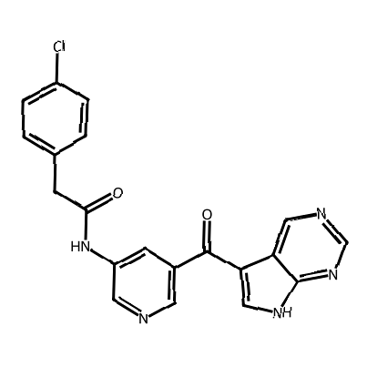 O=C(Cc1ccc(Cl)cc1)Nc1cncc(C(=O)c2c[nH]c3ncncc23)c1